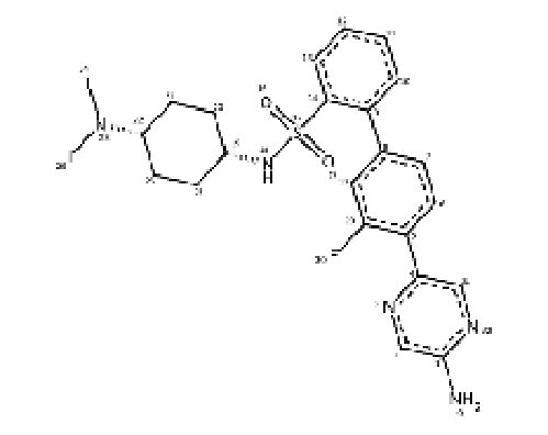 Nc1cnc(-c2ccc(-c3ccccc3S(=O)(=O)N[C@H]3CC[C@@H](N(I)I)CC3)cc2F)cn1